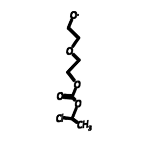 CC(Cl)OC(=O)OCCOCC[O]